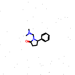 CN(C)CN1C(=O)CCC1c1ccccc1